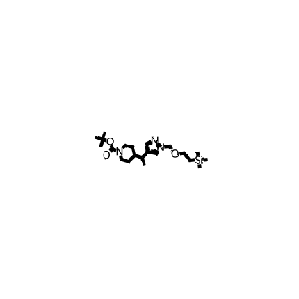 CC(c1cnn(COCC[Si](C)(C)C)c1)C1CCN(C(=O)OC(C)(C)C)CC1